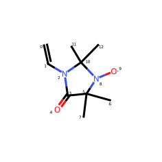 C=CN1C(=O)C(C)(C)N([O])C1(C)C